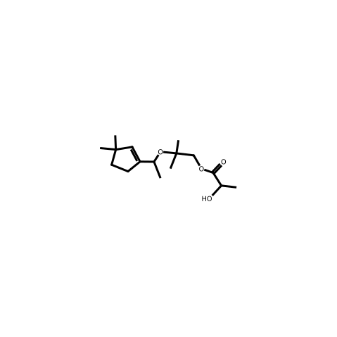 CC(O)C(=O)OCC(C)(C)OC(C)C1=CC(C)(C)CC1